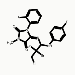 CN1C(=O)C(=NC(Nc2ccc(F)cc2)C(Br)(Br)CCl)N(c2ccccc2F)C1=O